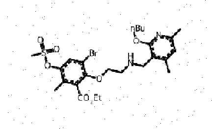 CCCCOc1nc(C)cc(C)c1CNCCOc1c(Br)cc(OS(C)(=O)=O)c(C)c1C(=O)OCC